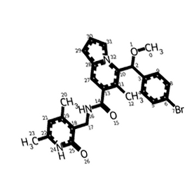 COC(c1ccc(Br)cc1)c1c(C)c(C(=O)NCc2c(C)cc(C)[nH]c2=O)cc2cccn12